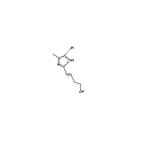 Cc1nc(/C=C/CCO)[nH]c1C(C)C